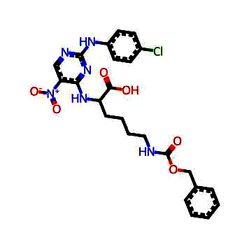 O=C(NCCCCC(Nc1nc(Nc2ccc(Cl)cc2)ncc1[N+](=O)[O-])C(=O)O)OCc1ccccc1